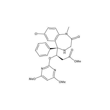 COC(=O)C[C@@H](Oc1nc(OC)cc(OC)n1)[C@@]1(c2ccccc2)NCC(=O)N(C)c2ccc(Cl)cc21